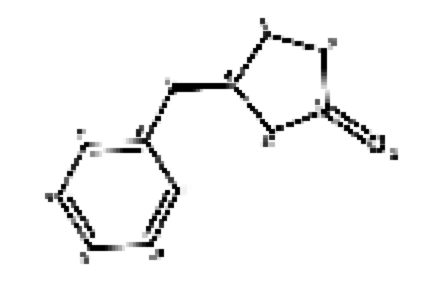 O=C1CC[C@H](Cc2ccccc2)C1